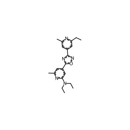 CCc1cc(-c2noc(-c3cc(C)nc(N(CC)CC)c3)n2)cc(C)n1